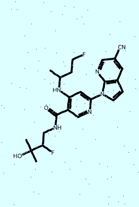 CC(CCF)Nc1cc(-n2ccc3cc(C#N)cnc32)ncc1C(=O)NCC(F)C(C)(C)O